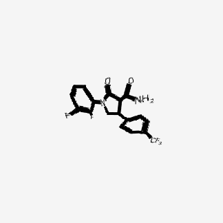 NC(=O)C1C(=O)N(c2cccc(F)c2F)CC1c1ccc(C(F)(F)F)cc1